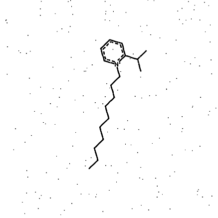 CCCCCCCCCC[n+]1ccccc1C(C)C